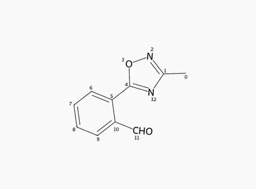 Cc1noc(-c2ccccc2C=O)n1